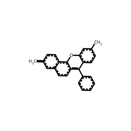 C=c1ccc2c3c(ccc2c1)=C(c1ccccc1)c1ccc(C)cc1O3